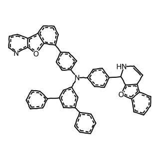 C1=Cc2c(oc3ccccc23)C(c2ccc(N(c3ccc(-c4cccc5c4oc4ncccc45)cc3)c3cc(-c4ccccc4)cc(-c4ccccc4)c3)cc2)N1